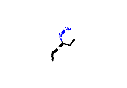 CC=C=C(CC)N=N